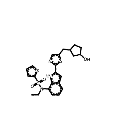 CCN(c1cccc2cc(-c3ncc(CC4CCC(O)C4)s3)[nH]c12)S(=O)(=O)c1cccs1